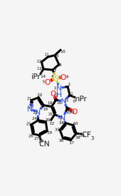 CCCC(CNS(=O)(=O)C1CC(C)CCC1C(C)C)n1c(=O)c(-c2ccnn2-c2ccc(C#N)cc2)c(C)n(-c2cccc(C(F)(F)F)c2)c1=O